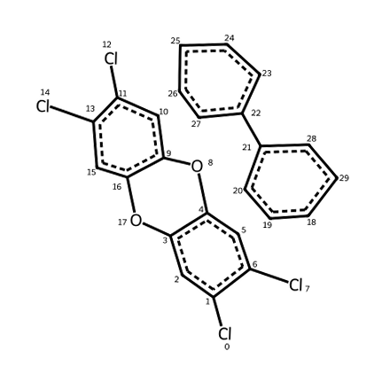 Clc1cc2c(cc1Cl)Oc1cc(Cl)c(Cl)cc1O2.c1ccc(-c2ccccc2)cc1